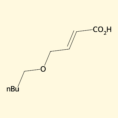 CCCCCOCC=CC(=O)O